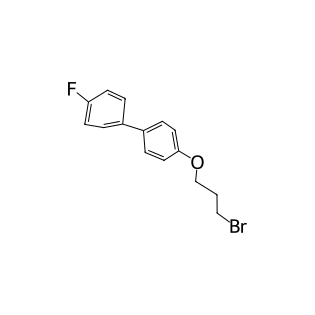 Fc1ccc(-c2ccc(OCCCBr)cc2)cc1